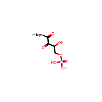 CCCCCCCC(=O)C(=O)C(O)COP(=O)(O)O